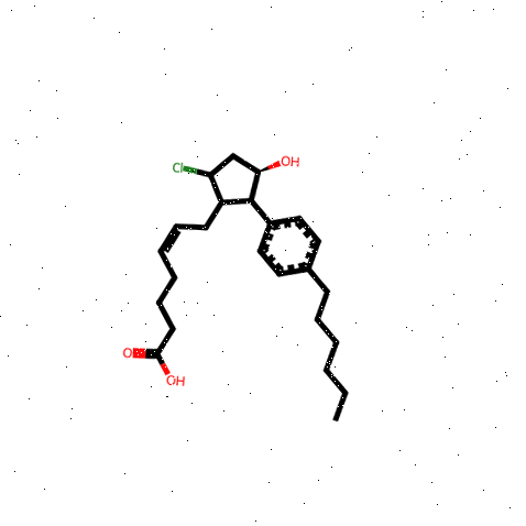 CCCCCCc1ccc(C2C(C/C=C\CCCC(=O)O)C(Cl)C[C@H]2O)cc1